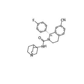 N#Cc1ccc2c(c1)[C@@H](c1ccc(F)cc1)N(C(=O)NC1CN3CCC1CC3)CC2